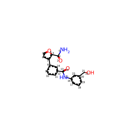 NC(=O)c1occc1-c1cccc(C(=O)Nc2cccc(CO)c2)c1